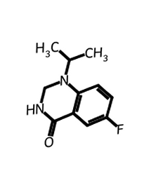 CC(C)N1CNC(=O)c2cc(F)ccc21